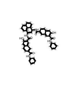 O=C(Nc1ccccc1)c1ccc2cc(O)c(C(=O)NC3=CC(NC(=O)c4ccc5cc(O)c(C(=O)Nc6ccccc6)cc5c4)c4cccc5cccc3c45)cc2c1